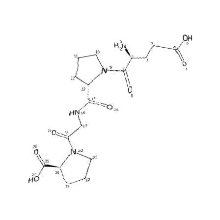 N[C@@H](CCC(=O)O)C(=O)N1CCC[C@H]1C(=O)NCC(=O)N1CCC[C@H]1C(=O)O